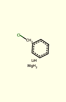 CCl.[LiH].[MgH2].[c]1ccccc1